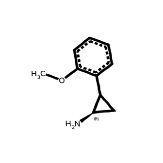 COc1ccccc1C1C[C@H]1N